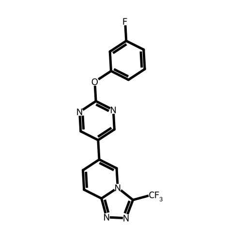 Fc1cccc(Oc2ncc(-c3ccc4nnc(C(F)(F)F)n4c3)cn2)c1